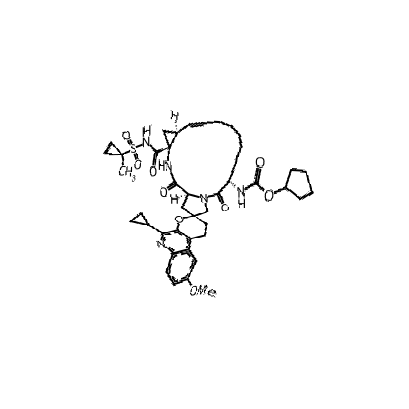 COc1ccc2nc(C3CC3)c3c(c2c1)CC[C@]1(C[C@H]2C(=O)N[C@]4(C(=O)NS(=O)(=O)C5(C)CC5)C[C@H]4/C=C\CCCCC[C@H](NC(=O)OC4CCCC4)C(=O)N2C1)O3